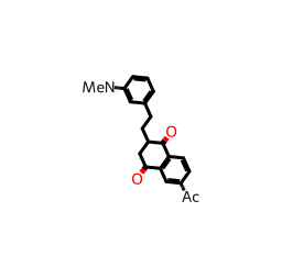 CNc1cccc(CCC2CC(=O)c3cc(C(C)=O)ccc3C2=O)c1